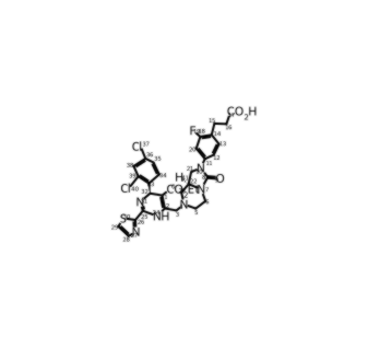 CCOC(=O)C1=C(CN2CCN3C(=O)N(c4ccc(CCC(=O)O)c(F)c4)C[C@@H]3C2)NC(c2nccs2)=N[C@H]1c1ccc(Cl)cc1Cl